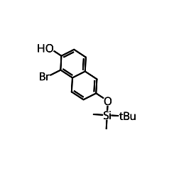 CC(C)(C)[Si](C)(C)Oc1ccc2c(Br)c(O)ccc2c1